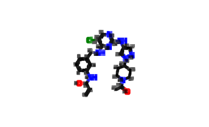 C=CC(=O)Nc1cccc(CNc2nc(Nc3cnn(C4CCN(C(C)=O)CC4)c3)ncc2Cl)c1